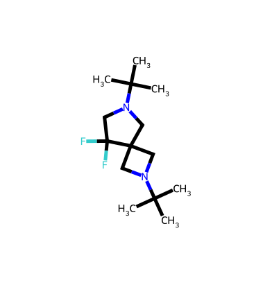 CC(C)(C)N1CC(F)(F)C2(C1)CN(C(C)(C)C)C2